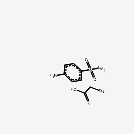 Nc1ccc(S(N)(=O)=O)cc1.O=C(O)CS